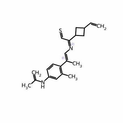 C=CC1CC(/C(C=S)=N/C=C(\C)c2ccc(NC(=C)C)cc2C)C1